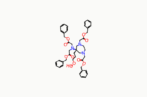 O=C(CN1CCN(CC(=O)OCc2ccccc2)CC(CCCOO)(N(CC(=O)OCc2ccccc2)CC(=O)OCc2ccccc2)C1)OCc1ccccc1